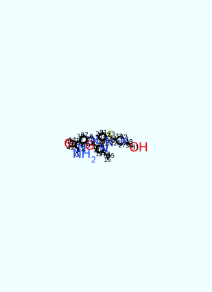 Nc1nc2cc(CN(C(=O)c3ccc(C4CC4)nc3)c3ccc4sc(C5CCN(CCO)CC5)nc4c3)ccc2c2c1COC2